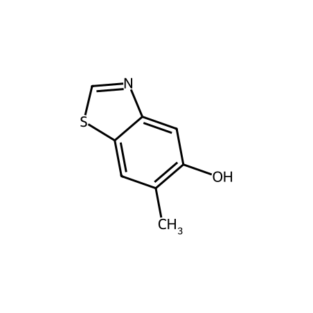 Cc1cc2scnc2cc1O